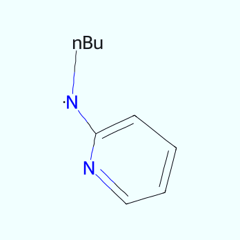 CCCC[N]c1ccccn1